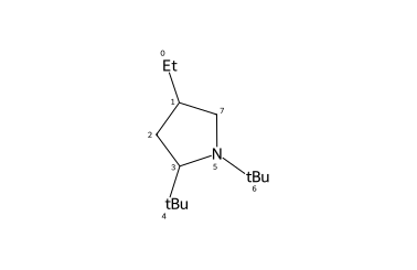 CCC1CC(C(C)(C)C)N(C(C)(C)C)C1